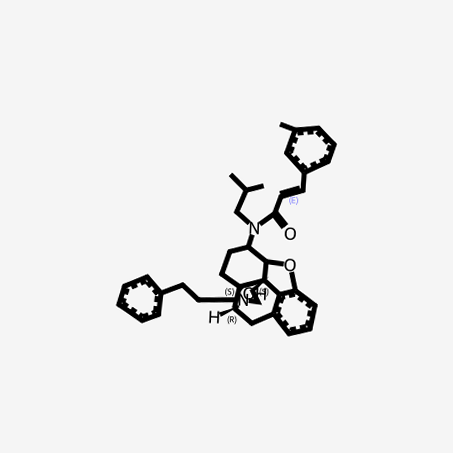 Cc1cccc(/C=C/C(=O)N(CC(C)C)C2CC[C@@]3(O)[C@H]4Cc5cccc6c5[C@@]3(CCN4CCc3ccccc3)C2O6)c1